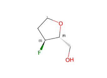 OC[C@H]1O[CH]C[C@@H]1F